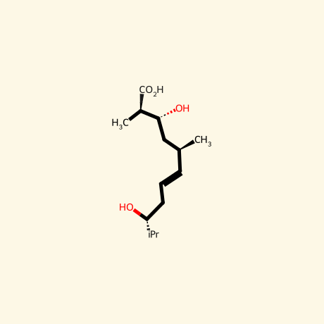 CC(C)[C@H](O)C/C=C/[C@H](C)C[C@@H](O)[C@@H](C)C(=O)O